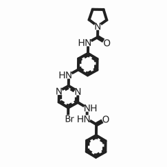 O=C(NNc1nc(Nc2cccc(NC(=O)N3CCCC3)c2)ncc1Br)c1ccccc1